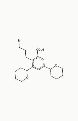 O=C(O)c1cc(C2CCCCO2)cc(C2CCCCO2)c1CCCBr